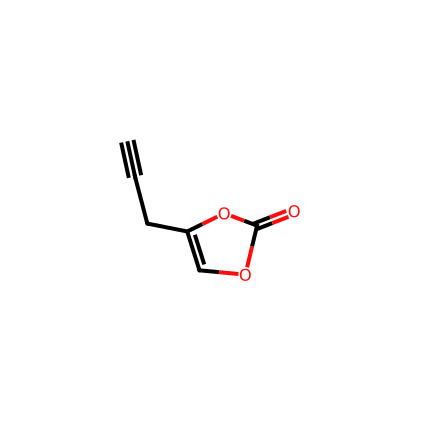 C#CCc1coc(=O)o1